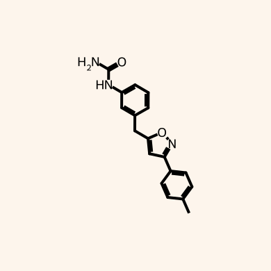 Cc1ccc(-c2cc(Cc3cccc(NC(N)=O)c3)on2)cc1